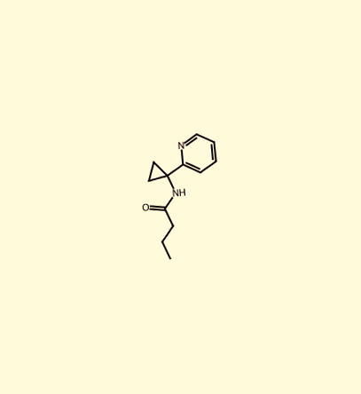 CCCC(=O)NC1(c2ccccn2)CC1